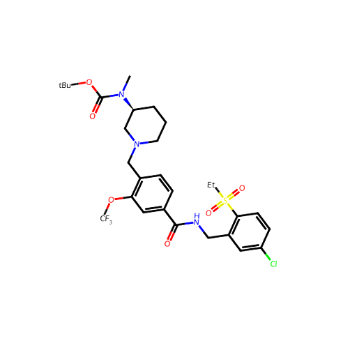 CCS(=O)(=O)c1ccc(Cl)cc1CNC(=O)c1ccc(CN2CCC[C@H](N(C)C(=O)OC(C)(C)C)C2)c(OC(F)(F)F)c1